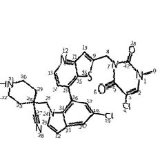 Cn1cc(Cl)c(=O)n(Cc2cc3nccc(-c4cc(Cl)cc5ccn(CC6(C#N)CCNCC6)c45)c3s2)c1=O